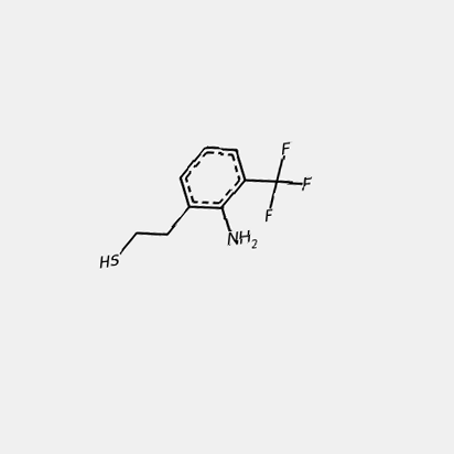 Nc1c(CCS)cccc1C(F)(F)F